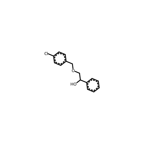 OC(COCc1ccc(Cl)cc1)c1ccccc1